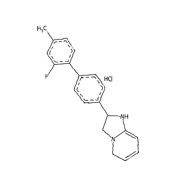 Cc1ccc(-c2ccc(C3CN4CC=CC=C4N3)cc2)c(F)c1.Cl